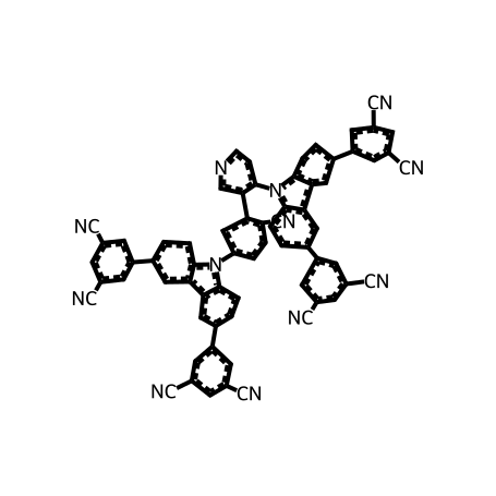 N#Cc1cc(C#N)cc(-c2ccc3c(c2)c2cc(-c4cc(C#N)cc(C#N)c4)ccc2n3-c2ccc(C#N)c(-c3cnccc3-n3c4ccc(-c5cc(C#N)cc(C#N)c5)cc4c4cc(-c5cc(C#N)cc(C#N)c5)ccc43)c2)c1